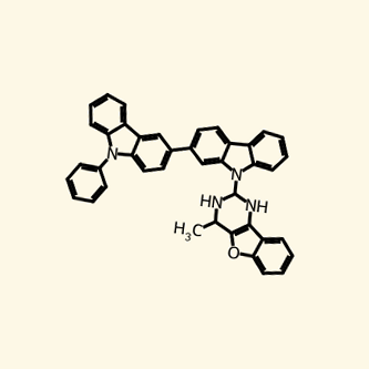 CC1NC(n2c3ccccc3c3ccc(-c4ccc5c(c4)c4ccccc4n5-c4ccccc4)cc32)Nc2c1oc1ccccc21